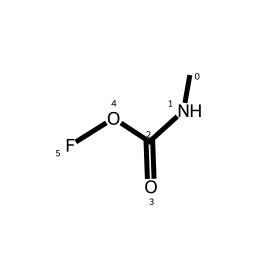 CNC(=O)OF